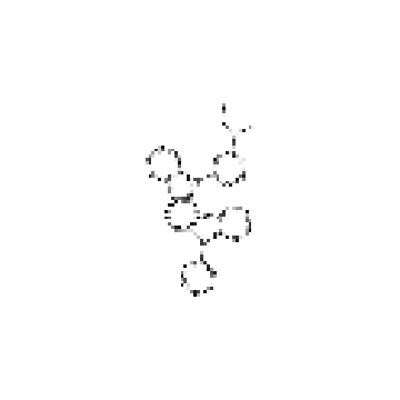 CCC(C)c1cccc(-n2c3ccccc3c3ccc4c(c5ccccc5n4-c4ccccc4)c32)c1